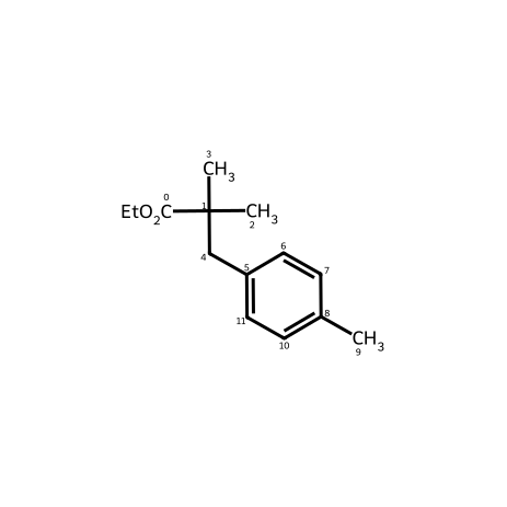 CCOC(=O)C(C)(C)Cc1ccc(C)cc1